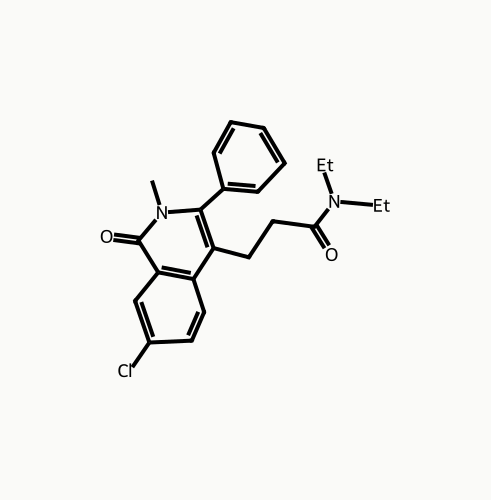 CCN(CC)C(=O)CCc1c(-c2ccccc2)n(C)c(=O)c2cc(Cl)ccc12